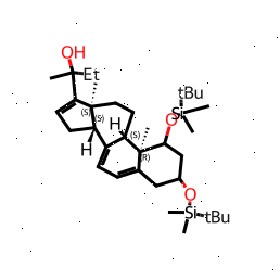 CCC(C)(O)C1=CC[C@H]2C3=CC=C4CC(O[Si](C)(C)C(C)(C)C)CC(O[Si](C)(C)C(C)(C)C)[C@]4(C)[C@H]3CC[C@]12C